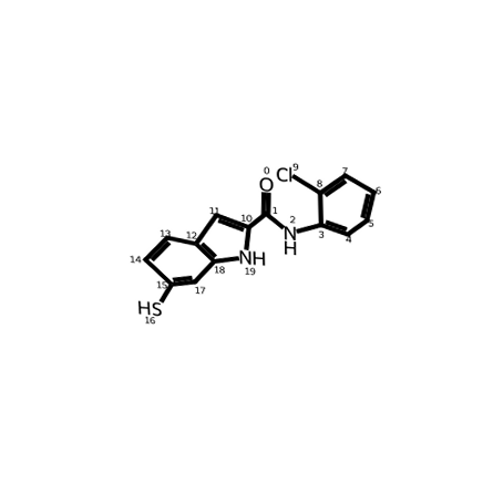 O=C(Nc1ccccc1Cl)c1cc2ccc(S)cc2[nH]1